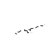 CC(C)(C)NCCSSC(C)(C)[C@H](NC(=O)CCOCCOCCN)C(=O)O